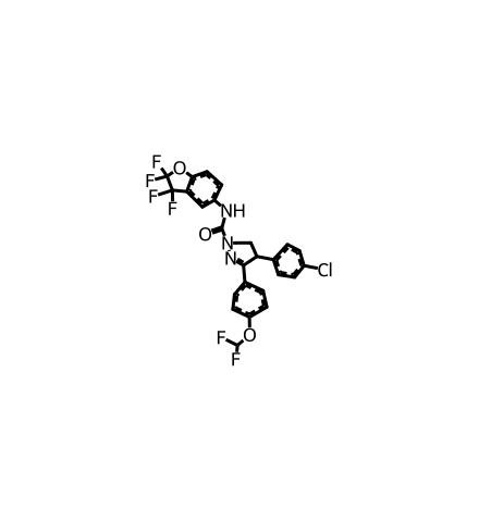 O=C(Nc1ccc2c(c1)C(F)(F)C(F)(F)O2)N1CC(c2ccc(Cl)cc2)C(c2ccc(OC(F)F)cc2)=N1